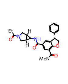 CCC(=O)N1C[C@@H]2[C@H](C1)[C@H]2NC(=O)c1cc(C(=O)NC)c2c(c1)[C@H](c1ccccc1)CO2